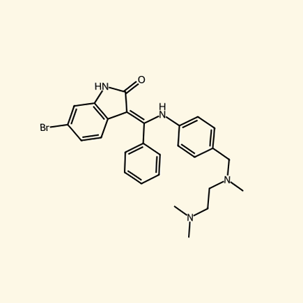 CN(C)CCN(C)Cc1ccc(N/C(=C2\C(=O)Nc3cc(Br)ccc32)c2ccccc2)cc1